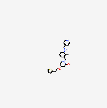 Cc1c(Cn2ccc(OCCc3cccs3)cc2=O)cccc1NCc1ccncc1